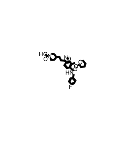 O=C(NCc1ccc(F)cc1)c1ccc2c(CCC3CCN(C(=O)O)CC3)noc2c1COC1CCCCO1